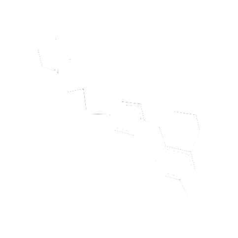 Cc1ccc2c(c1)CCC=C2c1ccc(OCCN2CCCC2)cc1